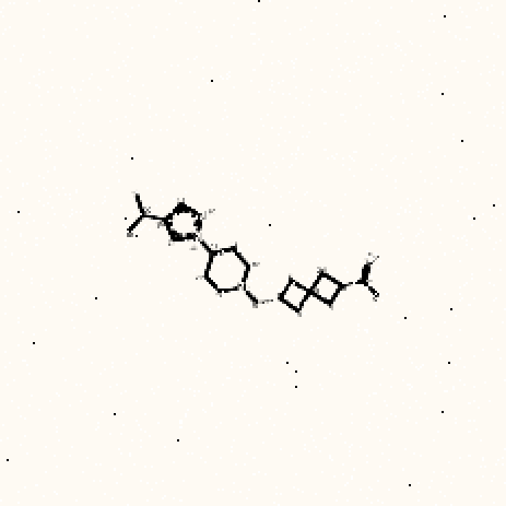 CC(=O)[C@H]1CC2(C[C@@H](CN3CCC(n4cc(C(C)C)cn4)CC3)C2)C1